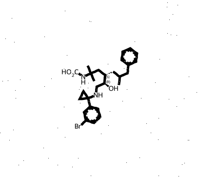 CC(Cc1ccccc1)C[C@@H](CC(C)(C)NC(=O)O)[C@@H](O)CNC1(c2cccc(Br)c2)CC1